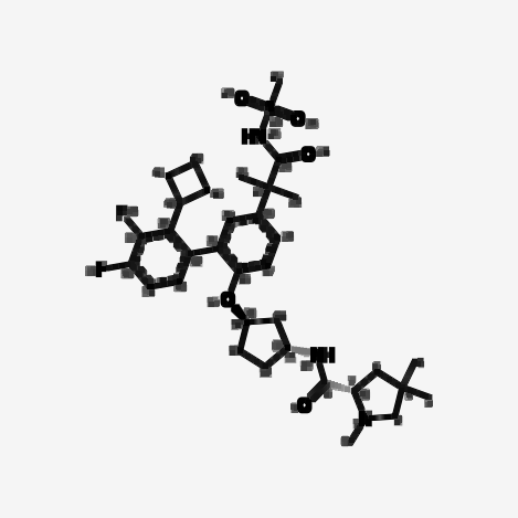 CN1CC(C)(C)C[C@H]1C(=O)N[C@@H]1CC[C@@H](Oc2ccc(C(C)(C)C(=O)NS(C)(=O)=O)cc2-c2ccc(F)c(F)c2C2CCC2)C1